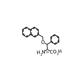 N[C@H](C(=O)O)C(OCc1ccc2ccccc2c1)c1ccccc1